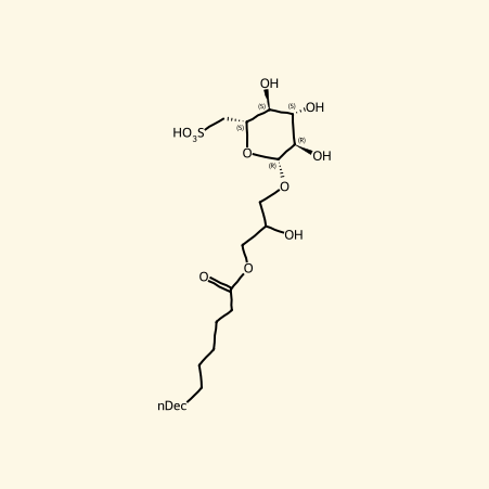 CCCCCCCCCCCCCCCC(=O)OCC(O)CO[C@@H]1O[C@H](CS(=O)(=O)O)[C@@H](O)[C@H](O)[C@H]1O